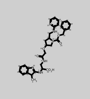 CC1C(NC(CNC(=O)COC2CC(CNc3ccccn3)N(C(=O)OCc3ccccc3)C2)C(=O)O)=Nc2ccccc21